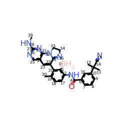 Bc1c(NC(=O)c2cccc(C(C)(C)C#N)c2)ccc(C)c1C1=Cc2cnc(NC)nc2N2CCN=C12